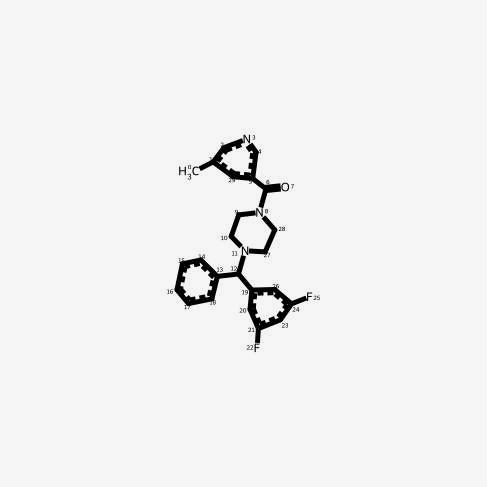 Cc1cncc(C(=O)N2CCN(C(c3ccccc3)c3cc(F)cc(F)c3)CC2)c1